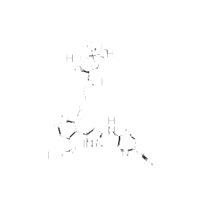 COc1ccnc(OCCCNC(=O)OC(C)(C)C)c1-c1cc(Nc2cnc(C#N)cn2)n[nH]1